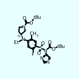 CCN(c1cc(F)c(S(=O)(=O)N(C(=O)OC(C)(C)C)c2cscn2)cc1C)[C@H]1CCN(C(=O)OC(C)(C)C)C1